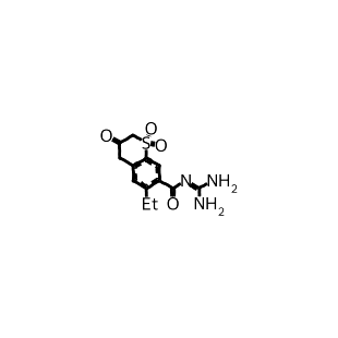 CCc1cc2c(cc1C(=O)N=C(N)N)S(=O)(=O)CC(=O)C2